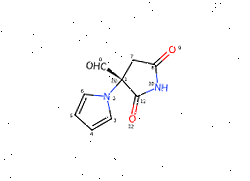 O=C[C@@]1(n2cccc2)CC(=O)NC1=O